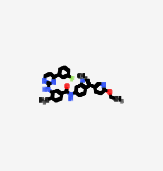 CCOc1ccc(-c2cn(C)c3cc(NC(=O)c4ccc(C)c(Nc5nccc(-c6cccc(F)c6)n5)c4)ccc23)cn1